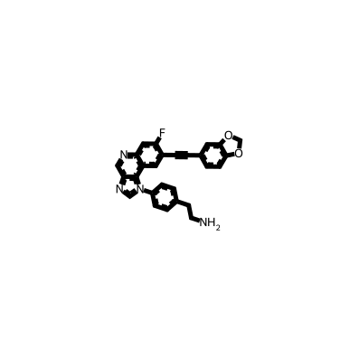 NCCc1ccc(-n2cnc3cnc4cc(F)c(C#Cc5ccc6c(c5)OCO6)cc4c32)cc1